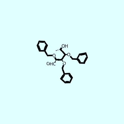 C[C@H](O)[C@@H](OCc1ccccc1)[C@@H](OCc1ccccc1)[C@H](C=O)OCc1ccccc1